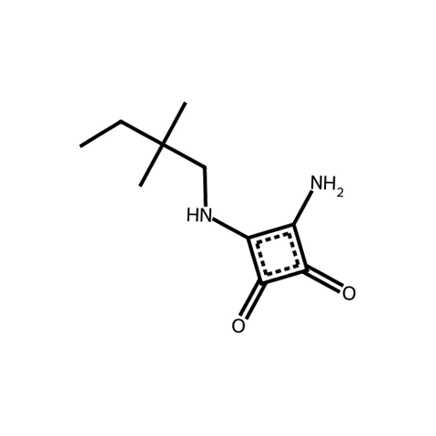 CCC(C)(C)CNc1c(N)c(=O)c1=O